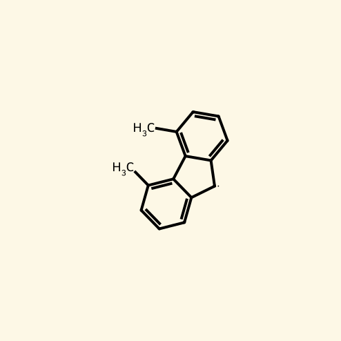 Cc1cccc2c1-c1c(C)cccc1[CH]2